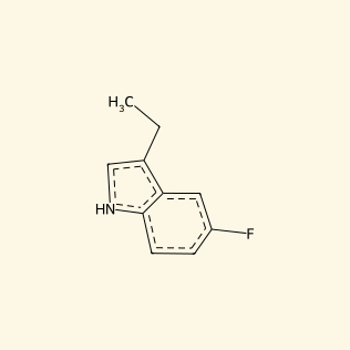 CCc1c[nH]c2ccc(F)cc12